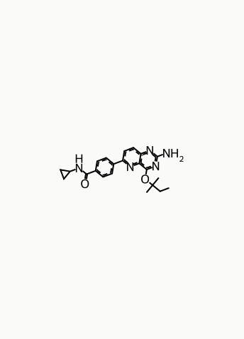 CCC(C)(C)Oc1nc(N)nc2ccc(-c3ccc(C(=O)NC4CC4)cc3)nc12